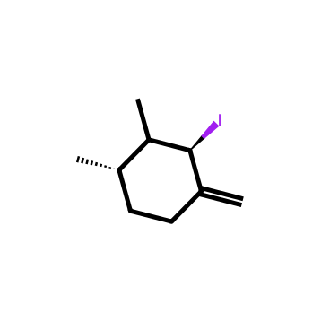 C=C1CC[C@H](C)C(C)[C@H]1I